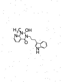 CN1c2ncccc2C(=O)N(CCCc2c[nH]c3ccccc23)C1O